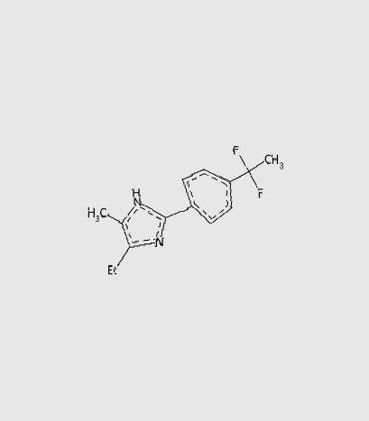 CCc1nc(-c2ccc(C(C)(F)F)cc2)[nH]c1C